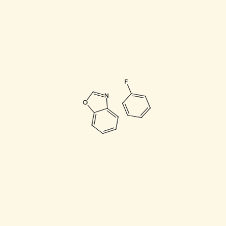 Fc1ccccc1.c1ccc2ocnc2c1